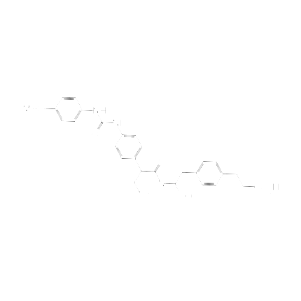 COc1ccc(NC(=O)Nc2ccc(C(CC(C)C)C(=O)NC(Cc3ccc(CCC(=O)O)cc3)C(=O)O)cc2)cc1